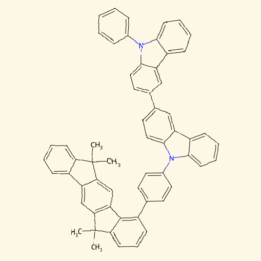 CC1(C)c2ccccc2-c2cc3c(cc21)-c1c(-c2ccc(-n4c5ccccc5c5cc(-c6ccc7c(c6)c6ccccc6n7-c6ccccc6)ccc54)cc2)cccc1C3(C)C